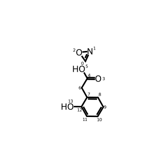 C1=NO1.O=C(O)Cc1ccccc1O